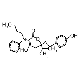 CCCCN(C1=C(O)CC(CCc2ccc(O)cc2)(C(C)C)OC1=O)c1ccccc1